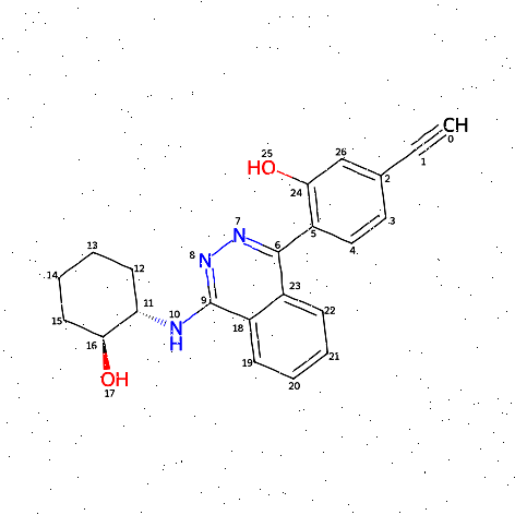 C#Cc1ccc(-c2nnc(N[C@H]3CCCC[C@@H]3O)c3ccccc23)c(O)c1